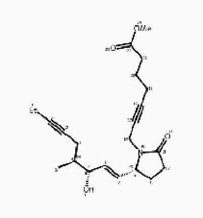 CCC#CC[C@H](C)[C@@H](O)C=C[C@H]1CCC(=O)N1CC#CCCCC(=O)OC